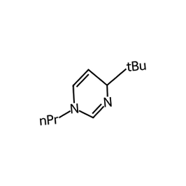 CCCN1C=CC(C(C)(C)C)N=C1